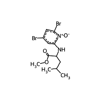 COC(=O)C(CC(C)C)Nc1cc(Br)cc(Br)[n+]1[O-]